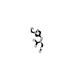 CC(C)Cn1cc(ON(C=C=O)C(=O)Cl)cn1